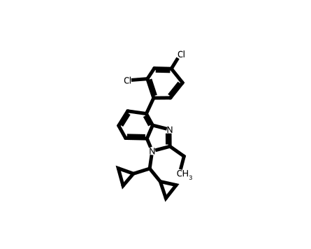 CCc1nc2c(-c3ccc(Cl)cc3Cl)cccc2n1C(C1CC1)C1CC1